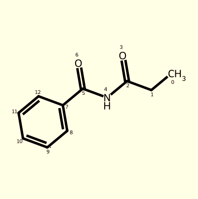 CCC(=O)NC(=O)c1c[c]ccc1